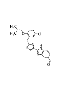 CC(C)COc1ccc(Cl)cc1Cc1nc(-c2nc3cc(C=O)ccc3[nH]2)cs1